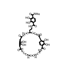 CNC(=O)c1ccc(C(=O)NCCC2CCNC(=O)c3ccc(c(O)c3O)C(=O)NCCNCCNCCNC(=O)c3ccc(c(O)c3O)C(=O)NCC2)c(O)c1O